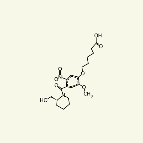 COc1cc(C(=O)N2CCCC[C@H]2CO)c([N+](=O)[O-])cc1OCCCCCC(=O)O